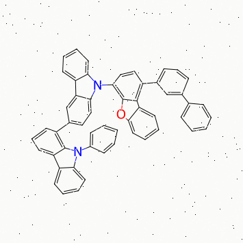 c1ccc(-c2cccc(-c3ccc(-n4c5ccccc5c5cc(-c6cccc7c8ccccc8n(-c8ccccc8)c67)ccc54)c4oc5ccccc5c34)c2)cc1